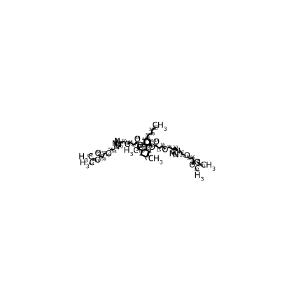 C=C(C)[C@@H]1CCC(C)=C[C@H]1c1c(OC(=O)CCOCc2cn(CCOCCC(=O)OC(C)C)nn2)cc(CCCCC)cc1OC(=O)CCOCc1cn(CCOCCC(=O)OC(C)C)nn1